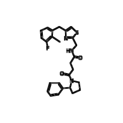 Cc1c(F)cccc1Cc1csc(CNC(=O)CCC(=O)N2CCCC2c2ccccc2)n1